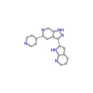 c1cnc2[nH]c(-c3n[nH]c4cnc(-c5ccncc5)cc34)cc2c1